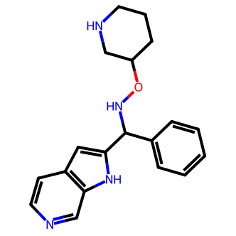 c1ccc(C(NOC2CCCNC2)c2cc3ccncc3[nH]2)cc1